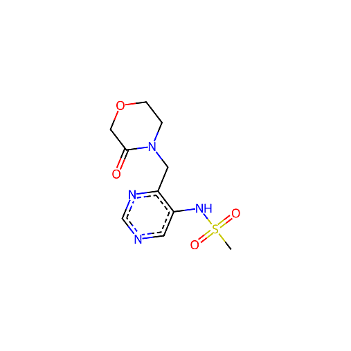 CS(=O)(=O)Nc1cncnc1CN1CCOCC1=O